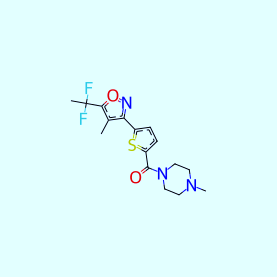 Cc1c(-c2ccc(C(=O)N3CCN(C)CC3)s2)noc1C(C)(F)F